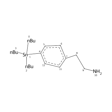 CCC[CH2][Sn]([CH2]CCC)([CH2]CCC)[c]1ccc(CCN)cc1